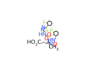 CN(C(=O)NCc1cccc(F)c1F)[C@@H](CCCC(=O)O)COC(=O)Nc1nnc(-c2ccccc2F)s1